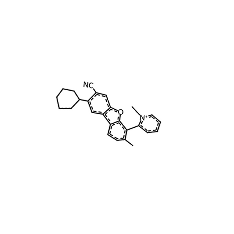 Cc1ccc2c(oc3cc(C#N)c(C4CCCCC4)cc32)c1-c1cccc[n+]1C